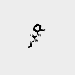 C/C=N/NC(=O)Nc1ccccc1F